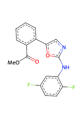 COC(=O)c1ccccc1-c1cnc(Nc2cc(F)ccc2F)o1